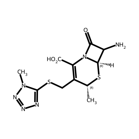 C[C@H]1S[C@@H]2C(N)C(=O)N2C(C(=O)O)=C1CSc1nnnn1C